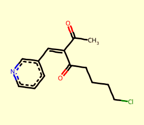 CC(=O)C(=Cc1cccnc1)C(=O)CCCCCl